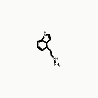 NNCCC1C=CC=C2NC=CC21